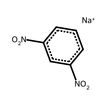 O=[N+]([O-])c1cccc([N+](=O)[O-])c1.[Na+]